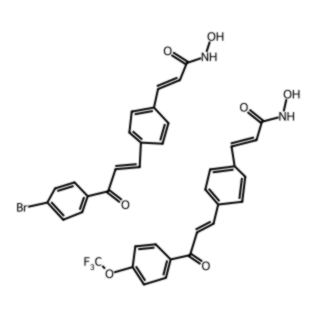 O=C(/C=C/c1ccc(/C=C/C(=O)c2ccc(Br)cc2)cc1)NO.O=C(/C=C/c1ccc(/C=C/C(=O)c2ccc(OC(F)(F)F)cc2)cc1)NO